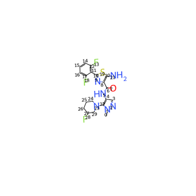 Cn1ncc(NC(=O)c2nc(-c3c(F)cccc3F)sc2N)c1N1CCCC(F)C1